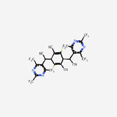 N#CC1=C(F)C(C(C#N)c2c(C(F)(F)F)nc(C(F)(F)F)nc2C(F)(F)F)C(C#N)=C(F)C1C(C#N)c1c(C(F)(F)F)nc(C(F)(F)F)nc1C(F)(F)F